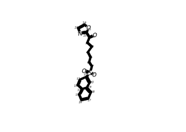 O=C(CCCCCCS(=O)(=O)c1ccc2ccccc2c1)c1ncco1